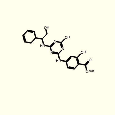 COC(=O)c1ccc(Nc2nc(O)nc(N[C@H](CO)C3C=CC=CC3)n2)cc1O